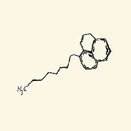 CCCCCCCCc1ccc2cccc3c2c1C=CC3